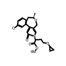 C[C@@H]1Cc2ccc(Cl)cc2-c2cc(=O)n(C(CCOC3CC3)C(=O)OC(C)(C)C)cc2CO1